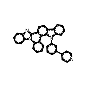 c1cc(-c2ccncc2)cc(-n2c3ccccc3c3ccc4c(c5ccccc5n5c6ccccc6nc45)c32)c1